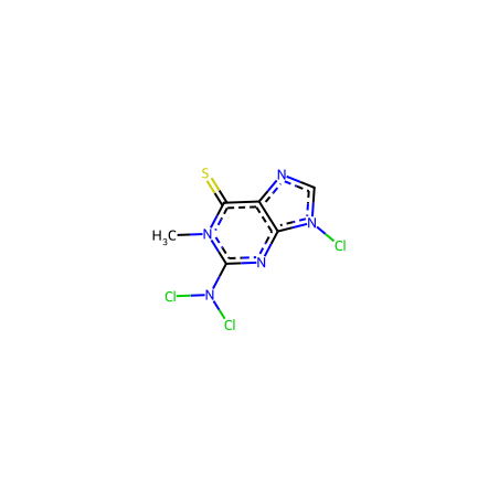 Cn1c(N(Cl)Cl)nc2c(ncn2Cl)c1=S